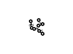 c1ccc(-c2nc3c(ccc4ccc(N(c5ccc6c(c5)sc5ccccc56)c5ccc6c(c5)c5ccccc5n6-c5ccccc5)cc43)o2)cc1